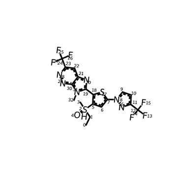 CC[SH](C)(=O)c1cc(-n2ccc(C(F)(F)F)n2)sc1-c1nc2cc(C(F)(F)F)nnc2n1C